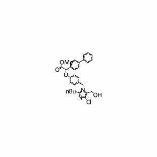 CCCCc1nc(Cl)c(CO)n1Cc1ccc(OC(C(=O)OC)c2ccc(-c3ccccc3)cc2)cc1